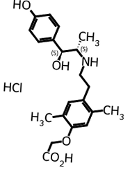 Cc1cc(OCC(=O)O)c(C)cc1CCN[C@@H](C)[C@@H](O)c1ccc(O)cc1.Cl